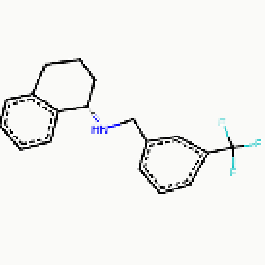 FC(F)(F)c1cccc(CN[C@H]2CCCc3ccccc32)c1